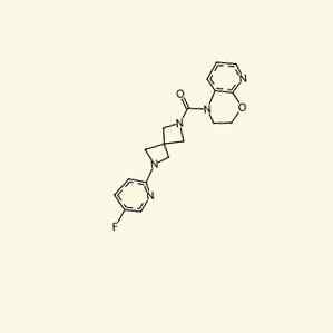 O=C(N1CC2(C1)CN(c1ccc(F)cn1)C2)N1CCOc2ncccc21